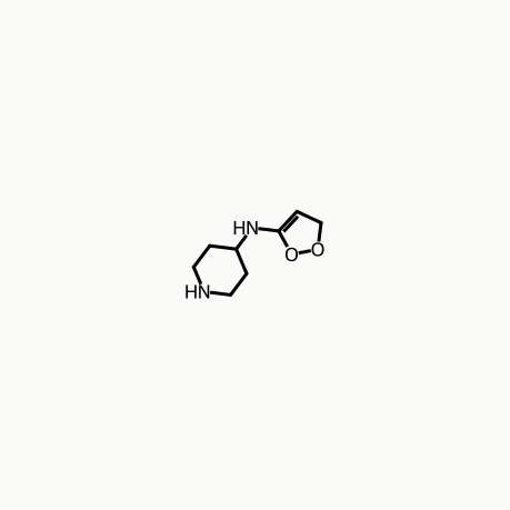 C1=C(NC2CCNCC2)OOC1